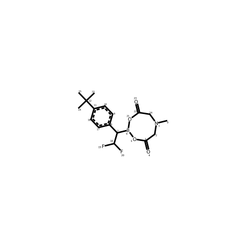 CN1CC(=O)OB(C(c2ccc(C(C)(C)C)cc2)C(F)F)OC(=O)C1